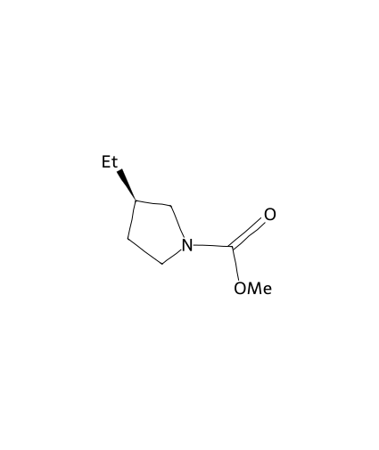 CC[C@@H]1CCN(C(=O)OC)C1